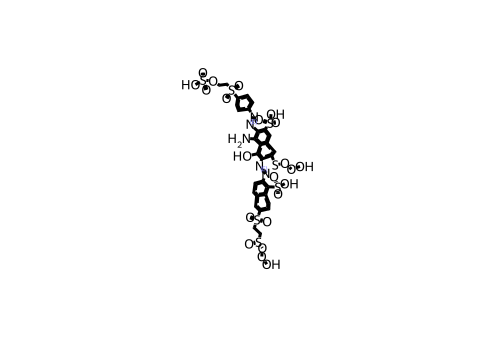 Nc1c(/N=N/c2ccc(S(=O)(=O)CCOS(=O)(=O)O)cc2)c(S(=O)(=O)O)cc2cc(SOOO)c(/N=N/c3ccc4cc(S(=O)(=O)CCS(=O)OOO)ccc4c3S(=O)(=O)O)c(O)c12